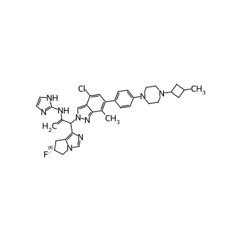 C=C(Nc1ncc[nH]1)C(c1ncn2c1C[C@@H](F)C2)n1cc2c(Cl)cc(-c3ccc(N4CCN(C5CC(C)C5)CC4)cc3)c(C)c2n1